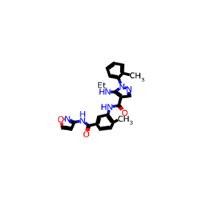 CCNc1c(C(=O)Nc2cc(C(=O)Nc3ccon3)ccc2C)cnn1-c1ccccc1C